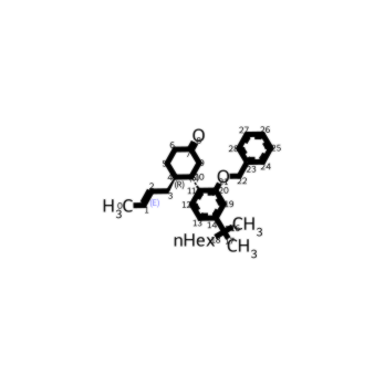 C/C=C/C[C@H]1CCC(=O)C[C@@H]1c1ccc(C(C)(C)CCCCCC)cc1OCc1ccccc1